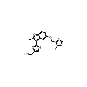 Cc1ncsc1COc1ccc2oc(C)c(-c3ncc(CO)o3)c2c1